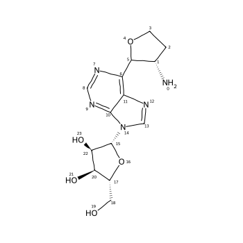 N[C@H]1CCOC1c1ncnc2c1ncn2[C@@H]1O[C@H](CO)[C@@H](O)[C@H]1O